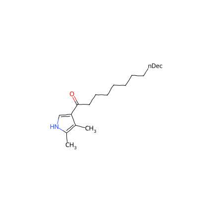 CCCCCCCCCCCCCCCCCC(=O)c1c[nH]c(C)c1C